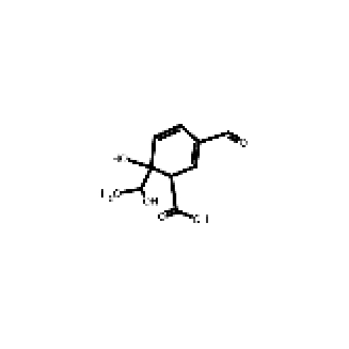 CC(O)C1(O)C=CC(C=O)=CC1C(=O)O